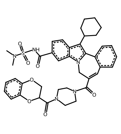 CN(C)S(=O)(=O)NC(=O)c1ccc2c(C3CCCCC3)c3n(c2c1)CC(C(=O)N1CCN(C(=O)C2COc4ccccc4O2)CC1)=Cc1ccccc1-3